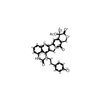 CC[C@@]1(OC(C)=O)C(=O)OCc2c1cc1n(c2=O)Cc2c-1nc1cccc3c1c2N(CCc1ccc(Cl)cc1)C(=O)N3